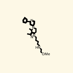 COCCNCCCCCn1nc(C)c2c1CCN(c1ccnc(-c3ccccc3)c1)C2C